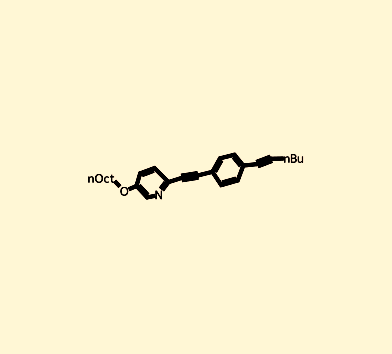 CCCCC#Cc1ccc(C#Cc2ccc(OCCCCCCCC)cn2)cc1